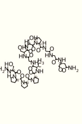 CC(NC(=O)[C@@H]1CCCN1C(=O)[C@@H]1CCCN1C(=O)[C@@H]1CCCN1C(=O)[C@H](CO)NN)C(=O)NCC(=O)NC(CO)C(=O)N[C@@H](CO)C(=O)N1CCC[C@H]1C(=O)NCC(=O)NCC(=O)N[C@H](C=O)CC(N)=O